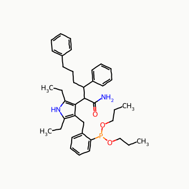 CCCOP(OCCC)c1ccccc1Cc1c(CC)[nH]c(CC)c1C(C(N)=O)C(CCCc1ccccc1)c1ccccc1